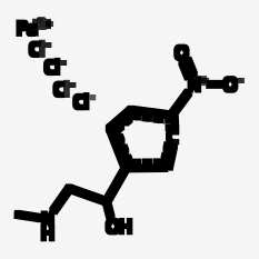 CNCC(O)c1ccc([N+](=O)[O-])cc1.[Cl-].[Cl-].[Cl-].[Cl-].[Pd+2]